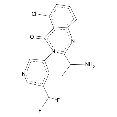 CC(N)c1nc2cccc(Cl)c2c(=O)n1-c1cncc(C(F)F)c1